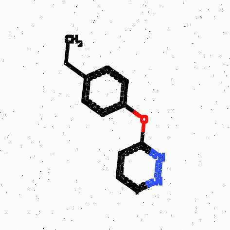 CCc1ccc(Oc2cc[c]nn2)cc1